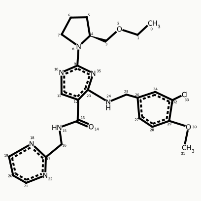 CCOC[C@@H]1CCCN1c1ncc(C(=O)NCc2ncccn2)c(NCc2ccc(OC)c(Cl)c2)n1